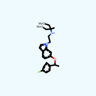 COCC(C)(COC)NCCn1ccc2ccc(OC(C)c3ccc(F)cc3)cc21